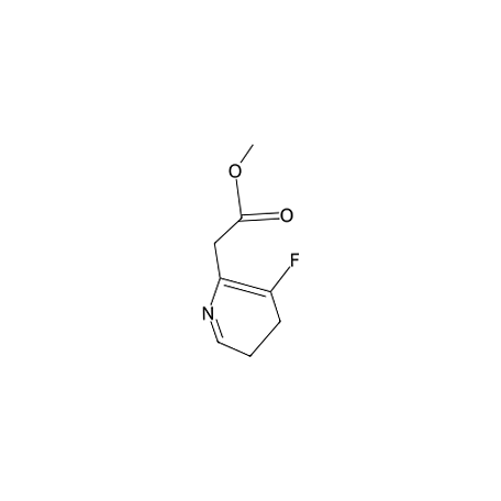 COC(=O)CC1=C(F)CCC=N1